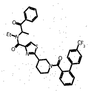 CCN(C(=O)c1csc(C2CCCN(C(=O)c3ccccc3-c3ccc(C(F)(F)F)cc3)C2)n1)C(C)C(=O)c1ccccc1